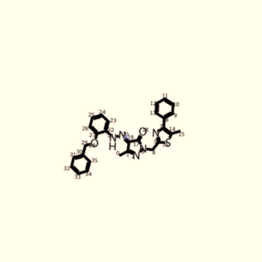 CC1=NN(Cc2nc(-c3ccccc3)c(C)s2)C(=O)/C1=N/Nc1ccccc1OCc1ccccc1